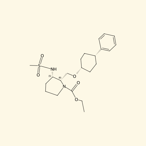 CCOC(=O)N1CCC[C@H](NS(C)(=O)=O)[C@@H]1CO[C@H]1CC[C@@H](c2ccccc2)CC1